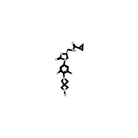 O=C(NC[C@H]1CN(c2cc(F)c(N3CC4(C3)C[S+]([O-])C4)c(F)c2)C(=O)O1)C1CC1